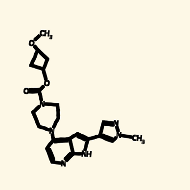 COC1CC(OC(=O)N2CCN(c3ccnc4[nH]c(-c5cnn(C)c5)cc34)CC2)C1